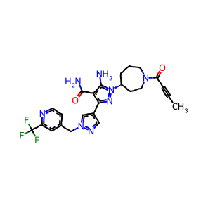 CC#CC(=O)N1CCC[C@H](n2nc(-c3cnn(Cc4ccnc(C(F)(F)F)c4)c3)c(C(N)=O)c2N)CC1